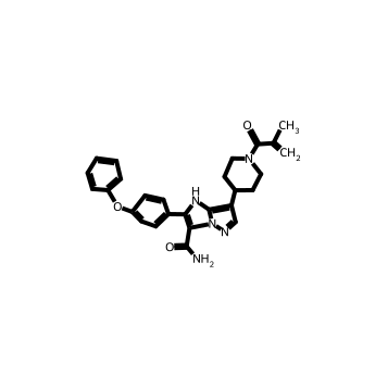 C=C(C)C(=O)N1CCC(c2cnn3c(C(N)=O)c(-c4ccc(Oc5ccccc5)cc4)[nH]c23)CC1